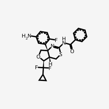 Nc1ccc(F)c([C@]23CO[C@H](C(F)(F)C4CC4)[C@H]2CSC(NC(=O)c2ccccc2)=N3)c1